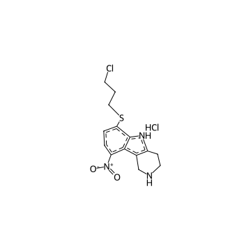 Cl.O=[N+]([O-])c1ccc(SCCCCl)c2[nH]c3c(c12)CNCC3